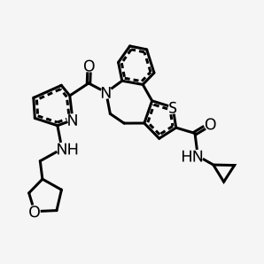 O=C(NC1CC1)c1cc2c(s1)-c1ccccc1N(C(=O)c1cccc(NCC3CCOC3)n1)CC2